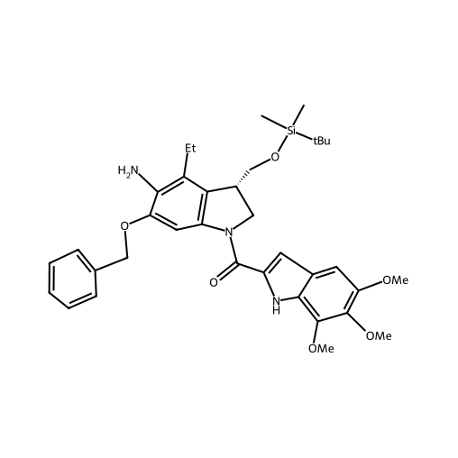 CCc1c(N)c(OCc2ccccc2)cc2c1[C@H](CO[Si](C)(C)C(C)(C)C)CN2C(=O)c1cc2cc(OC)c(OC)c(OC)c2[nH]1